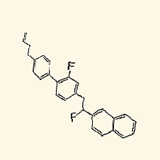 C=CCCc1ccc(-c2ccc(CC(F)c3ccc4ccccc4c3)cc2F)cc1